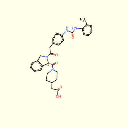 Cc1ccccc1NC(=O)Nc1ccc(CC(=O)N2Cc3ccccc3[C@H]2C(=O)N2CCC(CC(=O)O)CC2)cc1